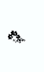 CC(C)OC(=O)N(C)C1CCN(c2ccn3ncc(-c4ccccn4)c3n2)C1